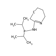 CC(C)P(NC1=NCCCCC1)C(C)C